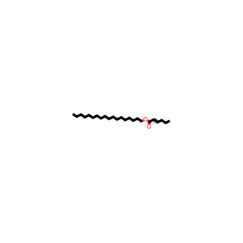 CCC/C=C/C(=O)OCCCCCCCCCCCCCCCCCC